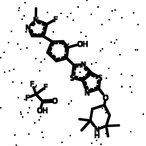 Cn1ncc(-c2ccc(-c3nc4sc(OC5CC(C)(C)NC(C)(C)C5)nc4s3)c(O)c2)c1F.O=C(O)C(F)(F)F